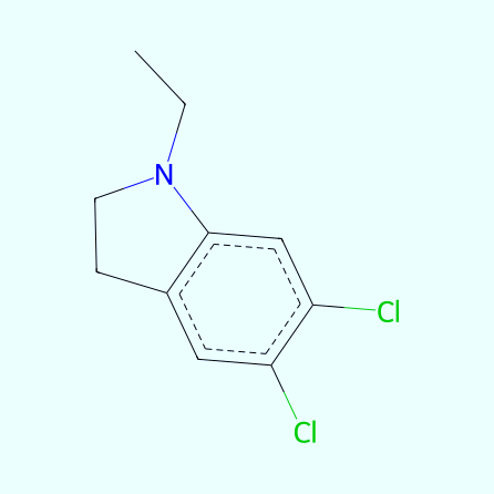 CCN1CCc2cc(Cl)c(Cl)cc21